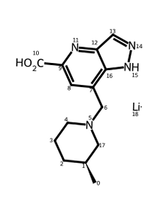 C[C@H]1CCCN(Cc2cc(C(=O)O)nc3cn[nH]c23)C1.[Li]